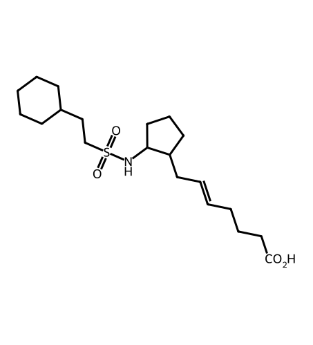 O=C(O)CCCC=CCC1CCCC1NS(=O)(=O)CCC1CCCCC1